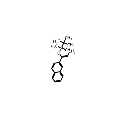 CC=C(O[Si](C)(C)C(C)(C)C)c1ccc2ccccc2c1